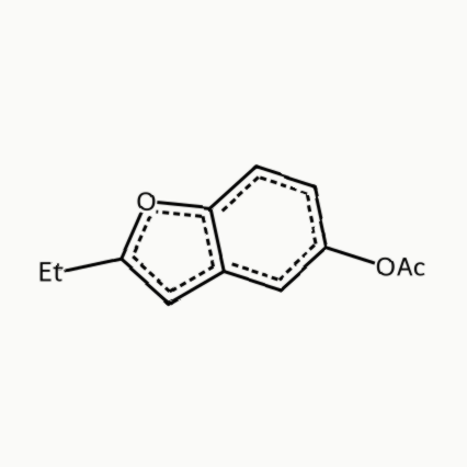 CCc1cc2cc(OC(C)=O)ccc2o1